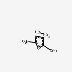 O=Cc1ccc([N+](=O)[O-])o1.O=[N+]([O-])O